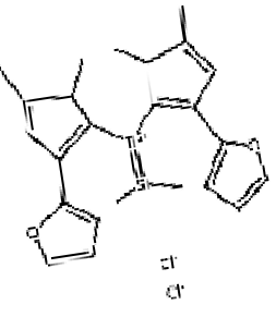 CC1=CC(c2ccco2)=[C]([Ti+2]([C]2=C(c3ccco3)C=C(C)C2C)=[Si](C)C)C1C.[Cl-].[Cl-]